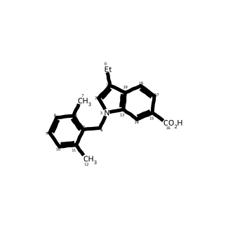 CCc1cn(Cc2c(C)cccc2C)c2cc(C(=O)O)ccc12